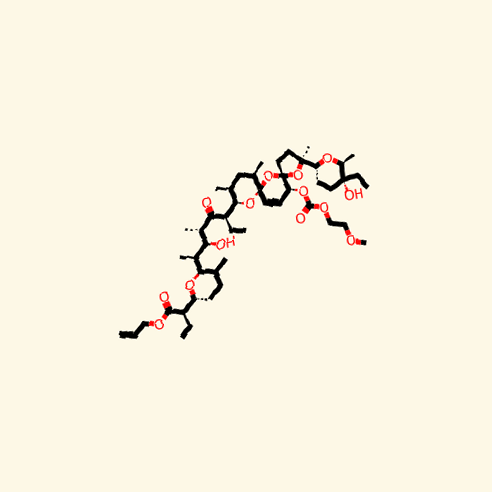 C=CCOC(=O)[C@H](CC)[C@H]1CCC(C)[C@H]([C@@H](C)[C@H](O)[C@H](C)C(=O)[C@H](CC)[C@H]2O[C@]3(C=C[C@@H](OC(=O)OCCOC)[C@]4(CC[C@@](C)([C@H]5CC[C@](O)(CC)[C@H](C)O5)O4)O3)[C@H](C)C[C@@H]2C)O1